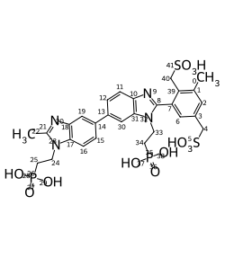 Cc1cc(CS(=O)(=O)O)cc(-c2nc3ccc(-c4ccc5c(c4)nc(C)n5CCP(=O)(O)O)cc3n2CCP(=O)(O)O)c1CS(=O)(=O)O